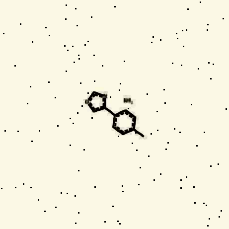 Cc1ccc(-c2cocn2)cc1.N